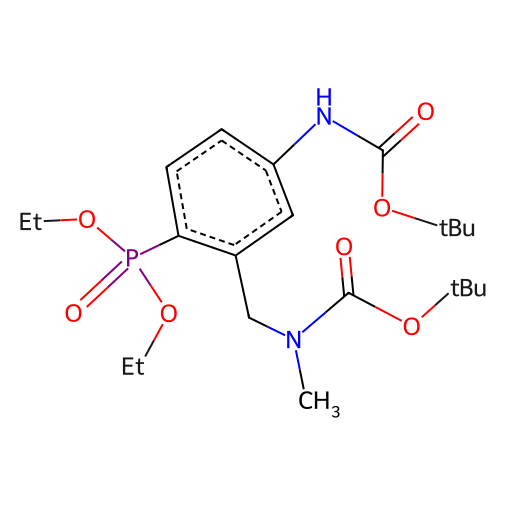 CCOP(=O)(OCC)c1ccc(NC(=O)OC(C)(C)C)cc1CN(C)C(=O)OC(C)(C)C